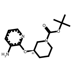 CC(C)(C)OC(=O)N1CCC[C@@H](Oc2ncccc2N)C1